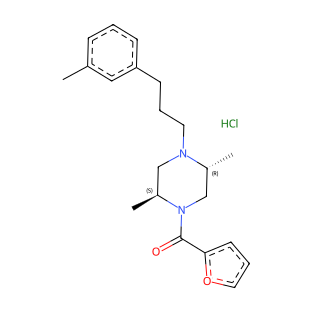 Cc1cccc(CCCN2C[C@H](C)N(C(=O)c3ccco3)C[C@H]2C)c1.Cl